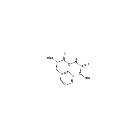 CCCCC(Cc1ccccc1)C(=O)ONC(=O)OC(C)(C)C